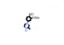 COc1cc(N2CCNC(C)C2)ccc1N=O